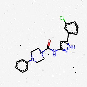 O=C(Nc1cc(-c2cccc(Cl)c2)[nH]n1)N1CCN(c2ccccc2)CC1